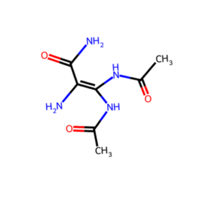 CC(=O)NC(NC(C)=O)=C(N)C(N)=O